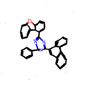 C1=CC2Oc3ccccc3C2C(c2nc(-c3ccccc3)nc(-c3cc4ccccc4c4ccccc34)n2)=C1